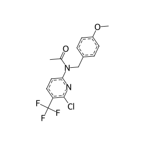 COc1ccc(CN(C(C)=O)c2ccc(C(F)(F)F)c(Cl)n2)cc1